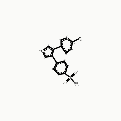 NS(=O)(=O)c1ccc(-c2cocc2-c2ccc(Cl)nc2)cc1